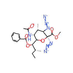 CC[C@@H](C)[C@@H](OC(=O)c1ccccc1)C1O[C@](N=[N+]=[N-])(C(=O)OC)C(N=[N+]=[N-])[C@@H](C)[C@H]1NC(C)=O